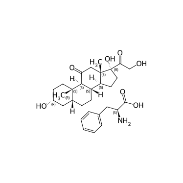 C[C@]12CC[C@@H](O)C[C@H]1CC[C@@H]1[C@@H]2C(=O)C[C@@]2(C)[C@H]1CC[C@]2(O)C(=O)CO.N[C@@H](Cc1ccccc1)C(=O)O